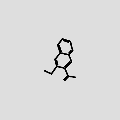 C=C(C)c1cc2ccccc2cc1CC